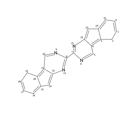 C1=CCC2=c3cnc(-c4ncc5c(n4)=CC4=CC=CCC=54)nc3=CC2=C1